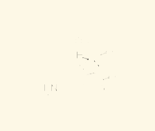 CC(N)CC(C)SC1=C(C(=O)O)N2C(=O)C(C(C)O)[C@H]2S1